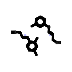 Cc1ccc(/C=C/CO)c(C)c1.Cc1cccc(O/C=C/CO)c1